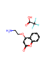 NCCOc1cc(=O)oc2ccccc12.O=C(O)C(F)(F)F